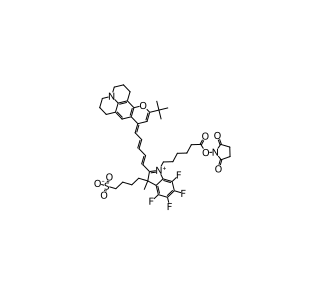 CC(C)(C)C1=C\C(=C/C=C/C=C/C2=[N+](CCCCCC(=O)ON3C(=O)CCC3=O)c3c(F)c(F)c(F)c(F)c3C2(C)CCCCS(=O)(=O)[O-])c2cc3c4c(c2O1)CCCN4CCC3